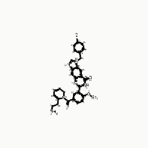 CCCOc1ccc(C(=O)N2CC=CC=C2CCN)cc1-c1nc2cc3ncn(Cc4ccc(F)cc4)c3cc2c(=O)[nH]1